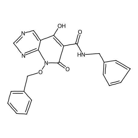 O=C(NCc1ccccc1)c1c(O)c2cncnc2n(OCc2ccccc2)c1=O